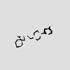 COc1ccnc(N2CCN(CC[C@@H]3CC4(CCCCC4)C(=O)O3)CC2)c1